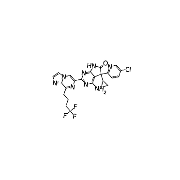 Nc1nc(-c2cn3ccnc3c(CCCC(F)(F)F)n2)nc2c1C(c1ccc(Cl)cn1)(C1CC1)C(=O)N2